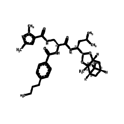 CCCCc1ccc(C(=O)N[C@@H](CNC(=O)c2cc(C)nn2C)C(=O)N[C@@H](CC(C)C)B2O[C@@H]3C[C@@H]4C[C@@H](C4(C)C)[C@]3(C)O2)cc1